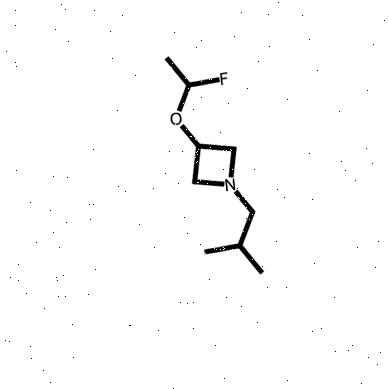 CC(C)CN1CC(OC(C)F)C1